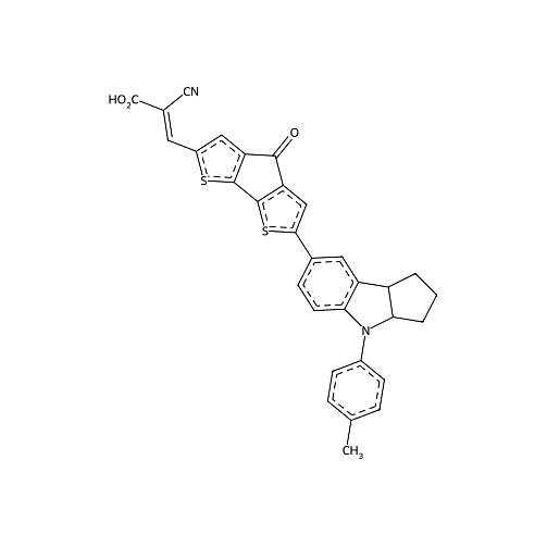 Cc1ccc(N2c3ccc(-c4cc5c(s4)-c4sc(/C=C(\C#N)C(=O)O)cc4C5=O)cc3C3CCCC32)cc1